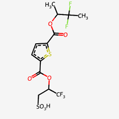 CC(OC(=O)c1ccc(C(=O)OC(CS(=O)(=O)O)C(F)(F)F)s1)C(C)(F)F